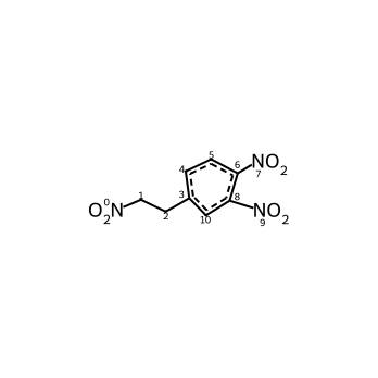 O=[N+]([O-])CCc1ccc([N+](=O)[O-])c([N+](=O)[O-])c1